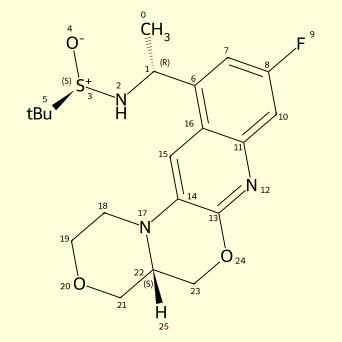 C[C@@H](N[S@+]([O-])C(C)(C)C)c1cc(F)cc2nc3c(cc12)N1CCOC[C@H]1CO3